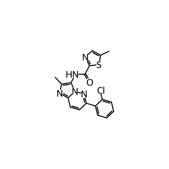 Cc1cnc(C(=O)Nc2c(C)nc3ccc(-c4ccccc4Cl)nn23)s1